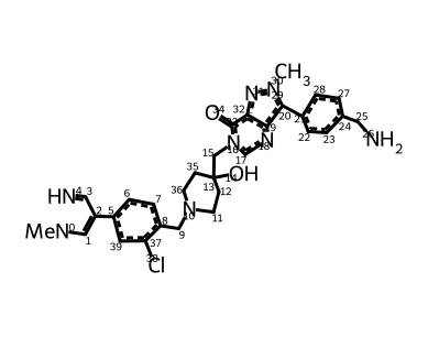 CN/C=C(\C=N)c1ccc(CN2CCC(O)(Cn3cnc4c(-c5ccc(CN)cc5)n(C)nc4c3=O)CC2)c(Cl)c1